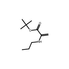 C=C(NCCC)C(=O)OC(C)(C)C